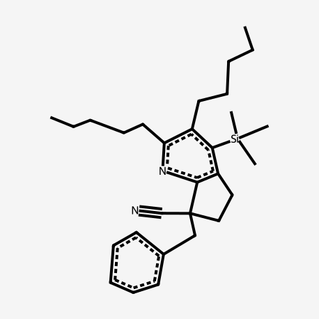 CCCCCc1nc2c(c([Si](C)(C)C)c1CCCCC)CCC2(C#N)Cc1ccccc1